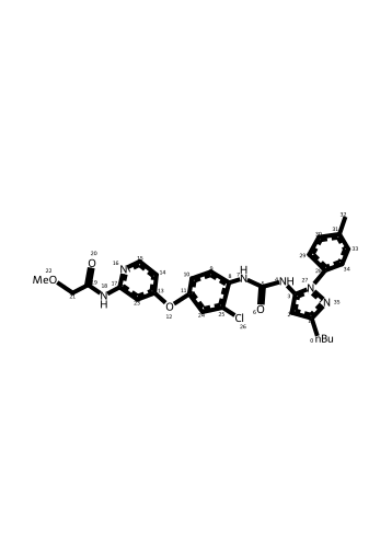 CCCCc1cc(NC(=O)Nc2ccc(Oc3ccnc(NC(=O)COC)c3)cc2Cl)n(-c2ccc(C)cc2)n1